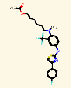 CC(=O)OCCCCCCN(C)c1ccc(Nc2nc(-c3ccc(F)cc3)cs2)cc1C(F)(F)F